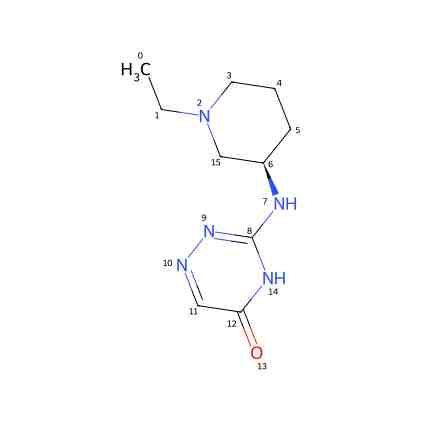 CCN1CCC[C@@H](Nc2nncc(=O)[nH]2)C1